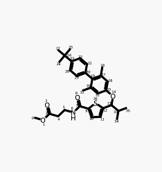 COC(=O)CCNC(=O)c1ccc(C(Oc2cc(C)c(-c3ccc(C(C)(C)C)cc3)c(C)c2)C(C)C)s1